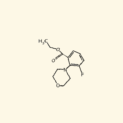 CCOC(=O)c1cccc(F)c1N1CCOCC1